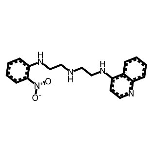 O=[N+]([O-])c1ccccc1NCCNCCNc1ccnc2ccccc12